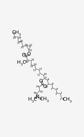 CCCCCCCCCC(CCCCCCCC(C)C(=O)OC1CC1CCCCCC)OC(=O)CCCN(C)C